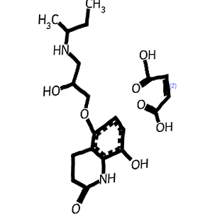 CCC(C)NCC(O)COc1ccc(O)c2c1CCC(=O)N2.O=C(O)/C=C\C(=O)O